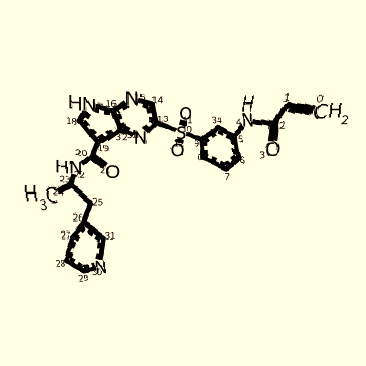 C=CC(=O)Nc1cccc(S(=O)(=O)c2cnc3[nH]cc(C(=O)NC(C)Cc4cccnc4)c3n2)c1